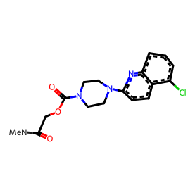 CNC(=O)COC(=O)N1CCN(c2ccc3c(Cl)cccc3n2)CC1